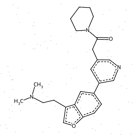 CN(C)CCc1coc2ccc(-c3cncc(CC(=O)N4CCCCC4)c3)cc12